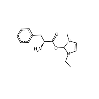 CCN1C=CN(C)C1OC(=O)[C@@H](N)Cc1ccccc1